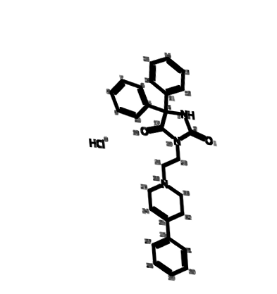 Cl.O=C1NC(c2ccccc2)(c2ccccc2)C(=O)N1CCN1CC=C(c2ccccc2)CC1